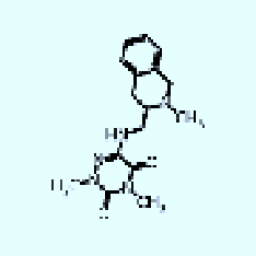 CN1Cc2ccccc2CC1CNc1nn(C)c(=O)n(C)c1=O